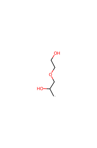 [CH2]C(O)COCCO